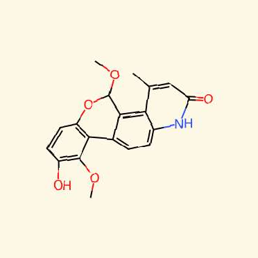 COc1c(O)ccc2c1-c1ccc3[nH]c(=O)cc(C)c3c1C(OC)O2